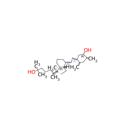 C=C1CC(=C)[C@H](O)C/C1=C/C=C1\CCC[C@]2(C)[C@@H]([C@H](C)CCCC(C)(C)O)CC[C@@H]12